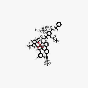 C[C@@H]1c2c(C(F)(F)F)nn(CC(=O)N[C@@H](Cc3cc(F)cc(F)c3)c3nc(C#CC(C)(C)S(C)(=O)=O)ccc3-c3ccc(Cl)c4c(N(C(=O)CC(C)(C)c5c(CC(=O)OC(C)(C)C)cc(C(=O)NC(C)(C)c6ccccc6)cc5OP(=O)(OP)OP)S(C)(=O)=O)nn(CC(F)(F)F)c34)c2C(F)(F)[C@@H]1C